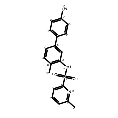 Cc1cccc(S(=O)(=O)Nc2cc(-c3ccc(C#N)cc3)ccc2C)n1